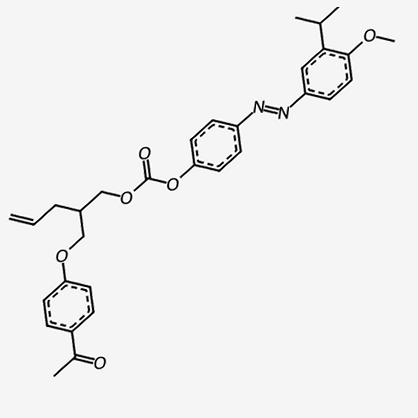 C=CCC(COC(=O)Oc1ccc(N=Nc2ccc(OC)c(C(C)C)c2)cc1)COc1ccc(C(C)=O)cc1